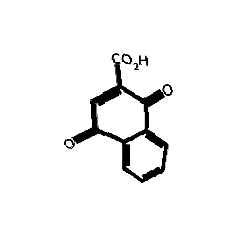 O=C(O)C1=CC(=O)c2ccccc2C1=O